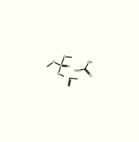 C=CC.COP(=O)(OC)OC.O=C(O)O